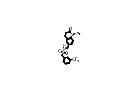 CCCN1C(=O)CCc2cc(CNS(=O)(=O)Cc3cccc(C(F)(F)F)c3)ccc21